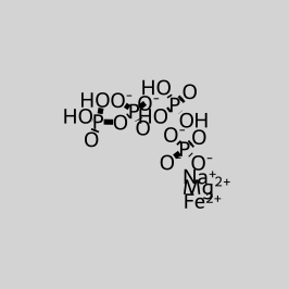 O=P(O)(O)O.O=P([O-])([O-])OP(=O)(O)O.O=P([O-])([O-])[O-].[Fe+2].[Mg+2].[Na+]